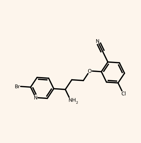 N#Cc1ccc(Cl)cc1OCCC(N)c1ccc(Br)nc1